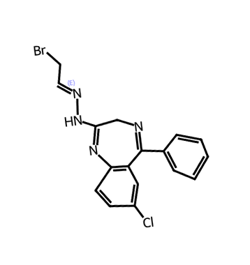 Clc1ccc2c(c1)C(c1ccccc1)=NCC(N/N=C/CBr)=N2